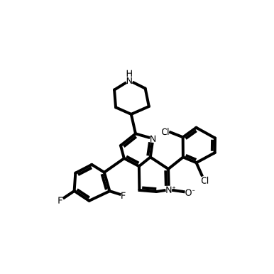 [O-][n+]1ccc2c(-c3ccc(F)cc3F)cc(C3CCNCC3)nc2c1-c1c(Cl)cccc1Cl